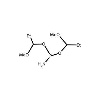 CCC(OC)OP(N)OC(CC)OC